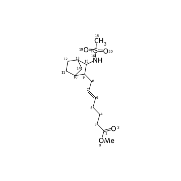 COC(=O)CCCC=CCC1C2CCC(C2)C1NS(C)(=O)=O